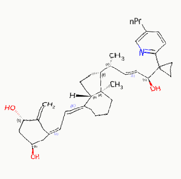 C=C1/C(=C\C=C2/CCC[C@]3(C)[C@@H]([C@H](C)/C=C/[C@H](O)C4(c5ccc(CCC)cn5)CC4)CC[C@@H]23)C[C@@H](O)C[C@@H]1O